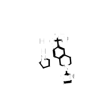 CC(C)(C)c1cc2c(c([C@@H]3CCCN3)c1)CN(c1nccs1)CC2